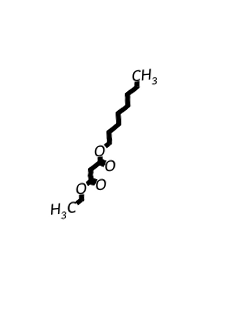 CCCCCCCCOC(=O)CC(=O)OCC